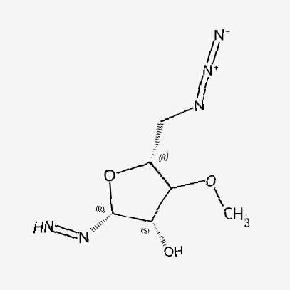 COC1[C@@H](CN=[N+]=[N-])O[C@@H](N=N)[C@H]1O